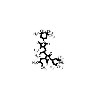 CCC(C)CC1C(=O)N(C2CC(C)(C)NC(C)(C)C2)C(=O)C1C(CC)CC1C(=O)N(C2CC(C)(C)NC(C)(C)C2)C(=O)C1C